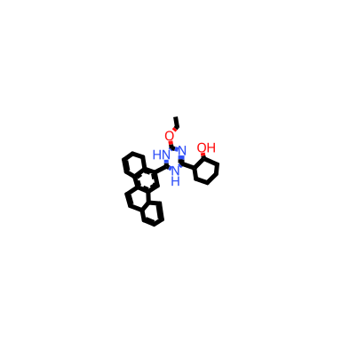 CCOC1N=C(C2CCCCC2O)NC(c2cc3c(c4c2CCC=C4)C=CC2C=CC=CC32)N1